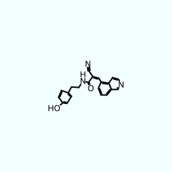 N#CC(=Cc1cccc2cnccc12)C(=O)NCCc1ccc(O)cc1